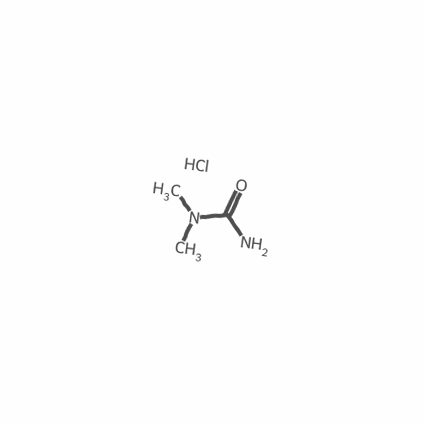 CN(C)C(N)=O.Cl